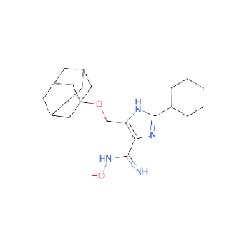 N=C(NO)c1nc(C2CCCCC2)[nH]c1COC12CC3CC(CC(C3)C1)C2